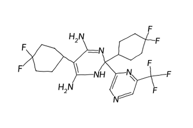 NC1=NC(c2cncc(C(F)(F)F)n2)(C2CCC(F)(F)CC2)NC(N)=C1C1CCC(F)(F)CC1